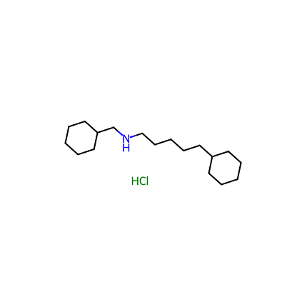 C(CCNCC1CCCCC1)CCC1CCCCC1.Cl